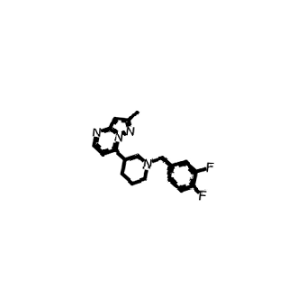 Cc1cc2nccc(C3CCCN(Cc4ccc(F)c(F)c4)C3)n2n1